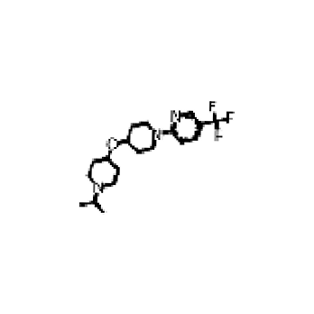 CC(C)N1CCC(OC2CCN(c3ccc(C(F)(F)F)cn3)CC2)CC1